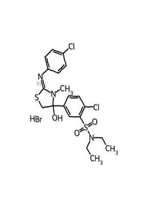 Br.CCN(CC)S(=O)(=O)c1cc(C2(O)CS/C(=N/c3ccc(Cl)cc3)N2C)ccc1Cl